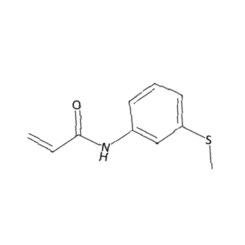 C=CC(=O)Nc1cccc(SC)c1